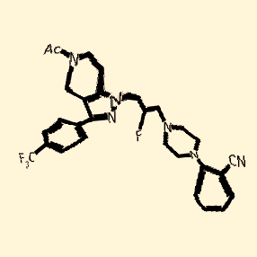 CC(=O)N1CCc2c(c(-c3ccc(C(F)(F)F)cc3)nn2CC(F)CN2CCN(c3ccccc3C#N)CC2)C1